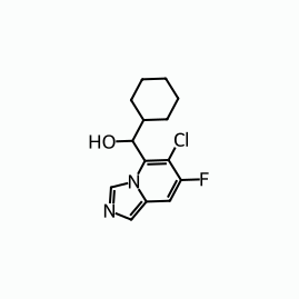 OC(c1c(Cl)c(F)cc2cncn12)C1CCCCC1